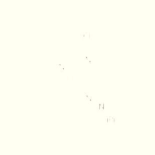 CC(C)n1cc2ccn([C@@H](C)c3ccccn3)c(=O)c2n1